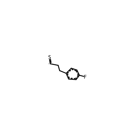 Fc1ccc(CC[C]=S)cc1